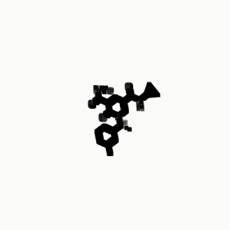 CNC(=O)c1cc(C(=O)NC2CC2)cn([C@H](C)c2cccc(C)c2)c1=O